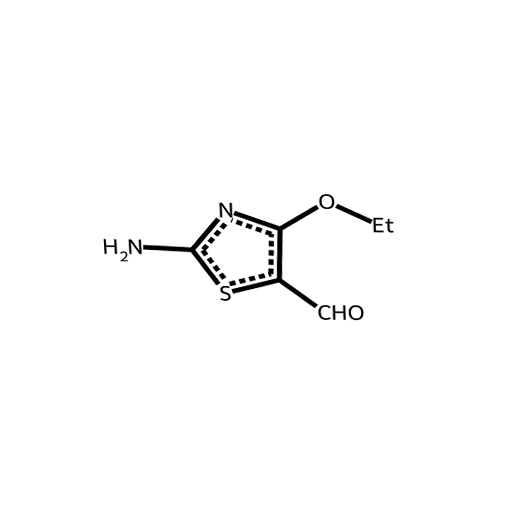 CCOc1nc(N)sc1C=O